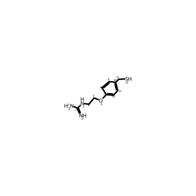 N=C(N)NCCOc1ccc(CS)cc1